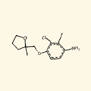 CC1(COc2ccc(N)c(F)c2Cl)CCCO1